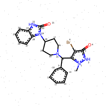 Cn1[nH]c(=O)c(Br)c1C(c1ccccc1)N1CCC(n2c(=O)[nH]c3ccccc32)CC1